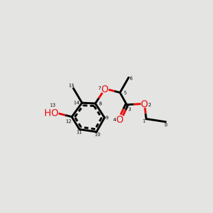 CCOC(=O)C(C)Oc1cccc(O)c1C